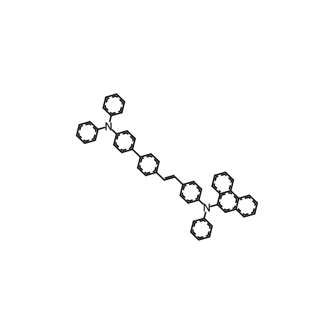 C(=C\c1ccc(N(c2ccccc2)c2cc3ccccc3c3ccccc23)cc1)/c1ccc(-c2ccc(N(c3ccccc3)c3ccccc3)cc2)cc1